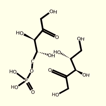 O=C(CO)[C@H](O)[C@H](O)CO.O=C(CO)[C@H](O)[C@H](O)COP(=O)(O)O